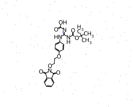 CC(C)(C)OC(=O)N/C(=N/C(=O)O)Nc1ccc(OCCON2C(=O)c3ccccc3C2=O)cc1